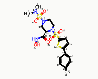 CN(C)S(=O)(=O)N1CCN(S(=O)(=O)c2ccc(-c3ccc(C#N)cc3)s2)[C@@H](C(=O)NO)C1